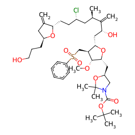 C=C([C@H](C)C[C@@H](Cl)CC[C@@H]1O[C@@H](CCCO)CC1=C)[C@H](O)C[C@@H]1O[C@H](C[C@H]2CN(C(=O)OC(C)(C)C)C(C)(C)O2)[C@H](OC)[C@H]1CS(=O)(=O)c1ccccc1